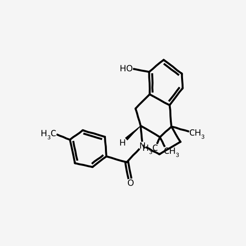 Cc1ccc(C(=O)N2CCC3(C)c4cccc(O)c4C[C@@H]2C3(C)C)cc1